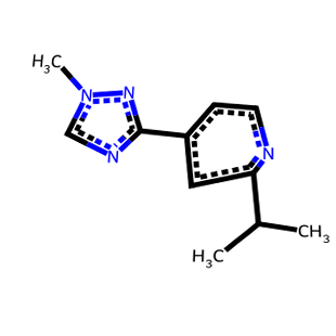 CC(C)c1cc(-c2ncn(C)n2)ccn1